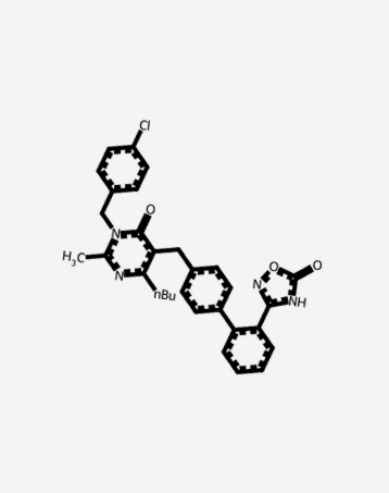 CCCCc1nc(C)n(Cc2ccc(Cl)cc2)c(=O)c1Cc1ccc(-c2ccccc2-c2noc(=O)[nH]2)cc1